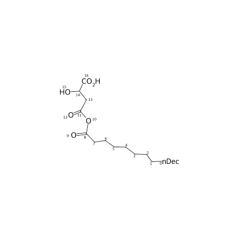 CCCCCCCCCCCCCCCCCC(=O)OC(=O)CC(O)C(=O)O